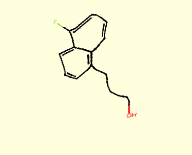 OCCCc1cccc2c(F)cccc12